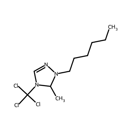 CCCCCCN1N=CN(C(Cl)(Cl)Cl)C1C